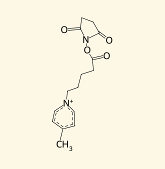 Cc1cc[n+](CCCCC(=O)ON2C(=O)CCC2=O)cc1